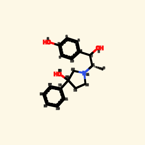 C[C@@H](C(O)c1ccc(O)cc1)N1CCC(O)(c2ccccc2)C1